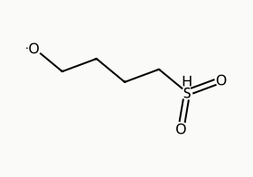 [O]CCCC[SH](=O)=O